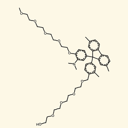 COCCOCCOCCOCCOc1ccc(C2(c3ccc(COCCOCCOCCOCCO)c(C)c3)c3cc(C)ccc3-c3ccc(C)cc32)cc1N(C)C